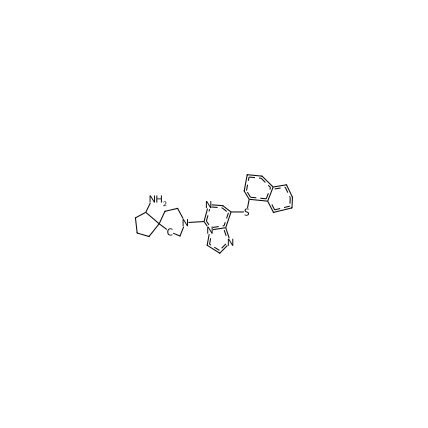 NC1CCCC12CCN(c1ncc(Sc3cccc4ccccc34)c3nccn13)CC2